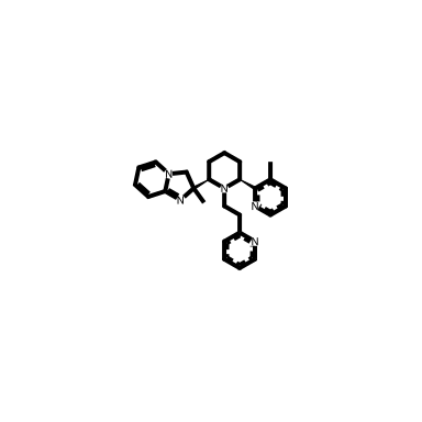 Cc1cccnc1[C@@H]1CCC[C@H](C2(C)CN3C=CC=CC3=N2)N1CCc1ccccn1